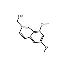 COc1cc(OC)c2cc(CO)ccc2c1